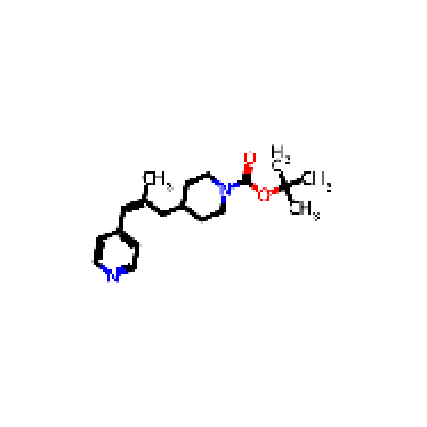 CC(=Cc1ccncc1)CC1CCN(C(=O)OC(C)(C)C)CC1